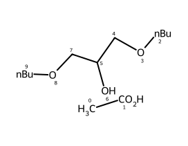 CC(=O)O.CCCCOCC(O)COCCCC